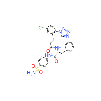 NS(=O)(=O)c1ccc(NC(=O)[C@H](Cc2ccccc2)NC(=O)/C=C/c2cc(Cl)ccc2-n2cnnn2)cc1